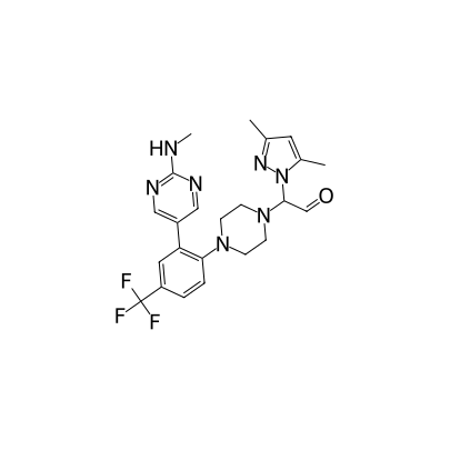 CNc1ncc(-c2cc(C(F)(F)F)ccc2N2CCN(C(C=O)n3nc(C)cc3C)CC2)cn1